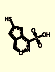 O=S(=O)(O)c1nocc2cc(S)cc1-2